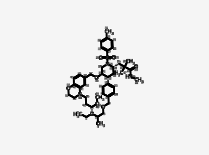 CCOC(C)COCc1ccc([C@H]2C[C@@H](CC(C)(C)C(=O)NC)N(S(=O)(=O)c3ccc(C)cc3)C[C@@H]2OCc2ccc3c(c2)N(CCCOC)CCO3)cc1